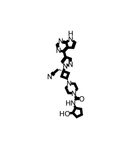 N#CC[C@]1(n2cc(-c3ncnc4[nH]ccc34)cn2)C[C@H](N2CCN(C(=O)NC3CCCC3O)CC2)C1